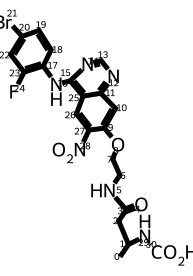 CC(CC(=O)NCCOc1cc2ncnc(Nc3ccc(Br)cc3F)c2cc1[N+](=O)[O-])NC(=O)O